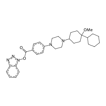 COC1(C2CCCCC2)CCC(N2CCN(c3ccc(C(=O)On4nnc5ccccc54)cc3)CC2)CC1